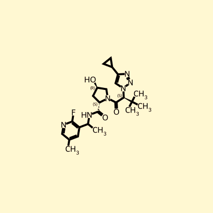 Cc1cnc(F)c(C(C)NC(=O)[C@@H]2C[C@@H](O)CN2C(=O)[C@@H](n2cc(C3CC3)nn2)C(C)(C)C)c1